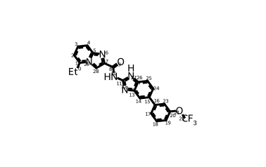 CCc1cccc2nc(C(=O)Nc3nc4cc(-c5cccc(OC(F)(F)F)c5)ccc4[nH]3)cn12